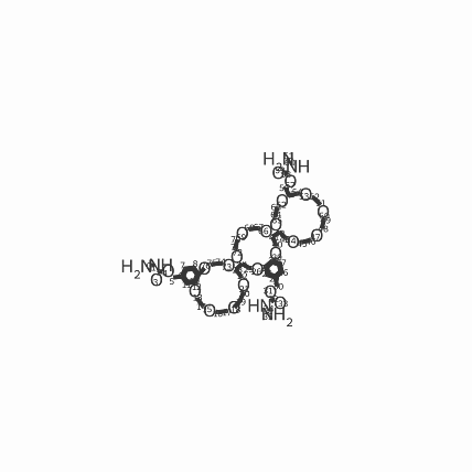 NNC(=O)OCc1ccc2c(c1)OCCOCCOCCOCC(C1COc3cc(COC(=O)NN)ccc3OCC(C3COCCOCCOCCOCC(COC(=O)NN)OCCO3)OCCOCCO1)OCCO2